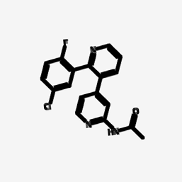 CC(=O)Nc1cc(-c2cccnc2-c2cc(Cl)ccc2F)ccn1